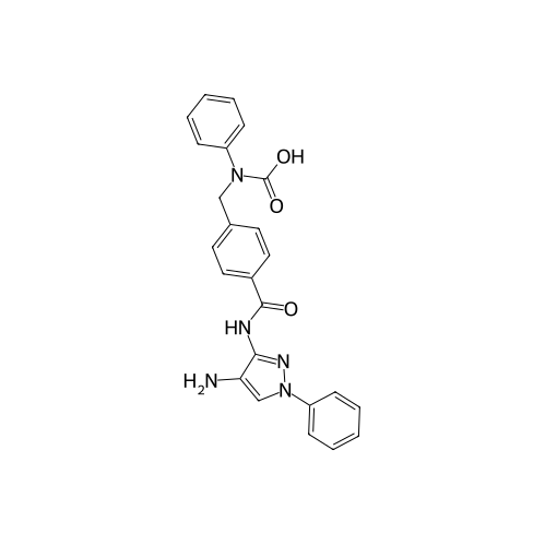 Nc1cn(-c2ccccc2)nc1NC(=O)c1ccc(CN(C(=O)O)c2ccccc2)cc1